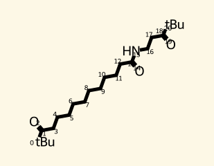 CC(C)(C)C(=O)CCCCCCCCCCC(=O)NCCC(=O)C(C)(C)C